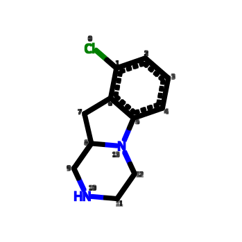 Clc1cccc2c1CC1CNCCN21